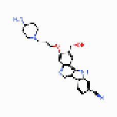 N#Cc1ccc2c(c1)[nH]c1c3cc(CO)c(OCCCN4CCC(N)CC4)cc3ncc21